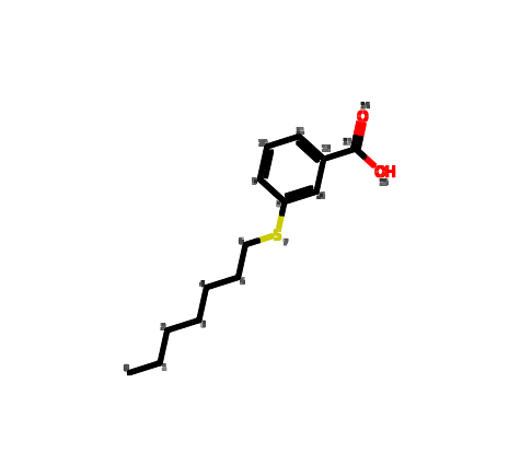 CCCCCCCSc1cccc(C(=O)O)c1